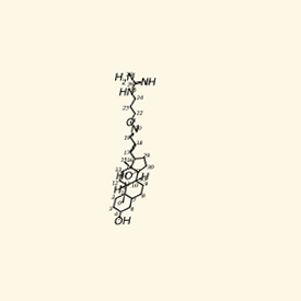 C[C@]12CCC(O)CC1CC[C@@H]1[C@H]2CC[C@]2(C)C(C=C/C=N/OCCCNC(=N)N)CC[C@@]12O